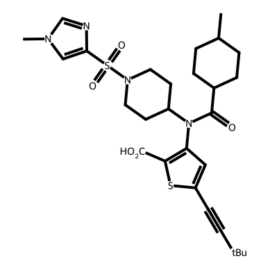 CC1CCC(C(=O)N(c2cc(C#CC(C)(C)C)sc2C(=O)O)C2CCN(S(=O)(=O)c3cn(C)cn3)CC2)CC1